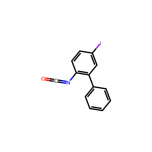 O=C=Nc1ccc(I)cc1-c1ccccc1